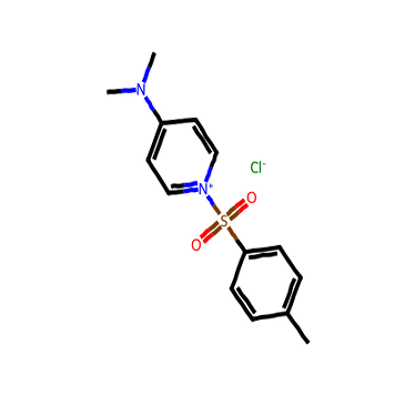 Cc1ccc(S(=O)(=O)[n+]2ccc(N(C)C)cc2)cc1.[Cl-]